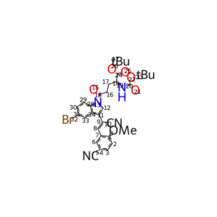 COc1ccc(C#N)cc1C=C(C#N)c1cn(C(=O)CCC(NC(=O)OC(C)(C)C)C(=O)OC(C)(C)C)c2ccc(Br)cc12